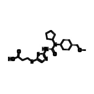 COCC1CCC(N(C(=O)Nc2ncc(SCCC(=O)O)s2)C2CCCC2)CC1